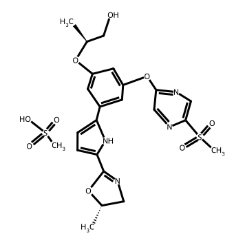 CS(=O)(=O)O.C[C@H]1CN=C(c2ccc(-c3cc(Oc4cnc(S(C)(=O)=O)cn4)cc(O[C@@H](C)CO)c3)[nH]2)O1